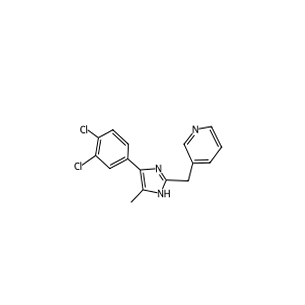 Cc1[nH]c(Cc2cccnc2)nc1-c1ccc(Cl)c(Cl)c1